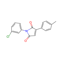 Cc1ccc(C2=CC(=O)N(c3cccc(Cl)c3)C2=O)cc1